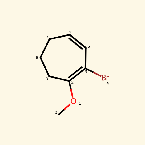 COC1=C(Br)C=CCCC1